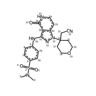 CN(C)S(=O)(=O)c1ccc(Nc2nn(C3(CC#N)CCOCC3)c3cc[nH]c(=O)c23)cc1